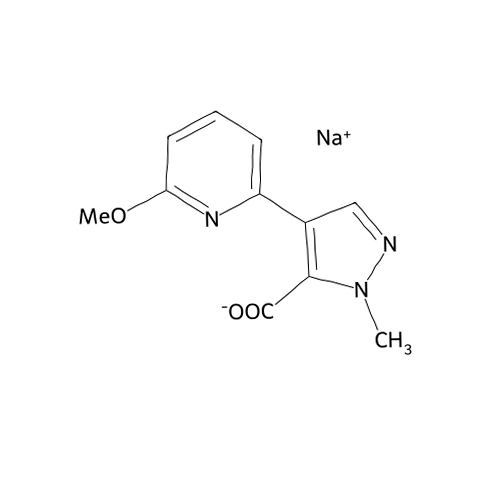 COc1cccc(-c2cnn(C)c2C(=O)[O-])n1.[Na+]